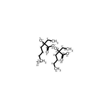 CCCCC([O-])(CC)C(=O)[O-].CCCCC([O-])(CC)C(=O)[O-].[Ti+4]